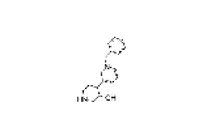 OC1CNCCC1C1=CC=CN(Cc2ccccc2)C1